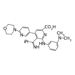 CC(C)C(=N)c1c(-c2ccc(N3CCOCC3)nc2)cc(C(=O)O)nc1Nc1cccc(N(C)C)c1